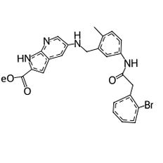 COC(=O)c1cc2cc(NCc3cc(NC(=O)Cc4ccccc4Br)ccc3C)cnc2[nH]1